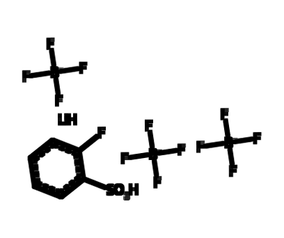 F[B-](F)(F)F.F[B-](F)(F)F.F[B-](F)(F)F.O=S(=O)(O)c1ccccc1F.[LiH]